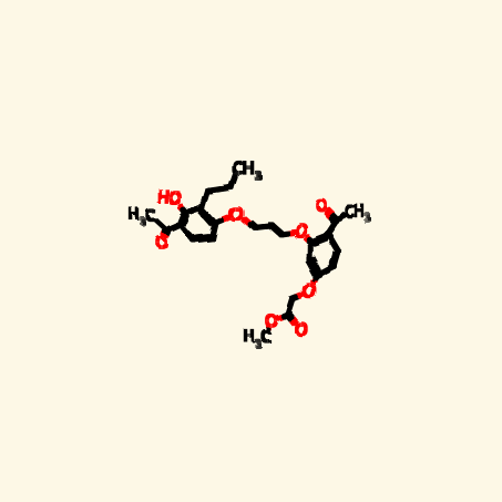 CCCc1c(OCCCOc2cc(OCC(=O)OC)ccc2C(C)=O)ccc(C(C)=O)c1O